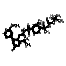 COc1cc(-c2cc(F)cc(C(C)C)c2CC(=O)NS(=O)(=O)c2ccc(C(C)(C)NC(=O)OC(C)(C)C)c(F)c2)ccn1